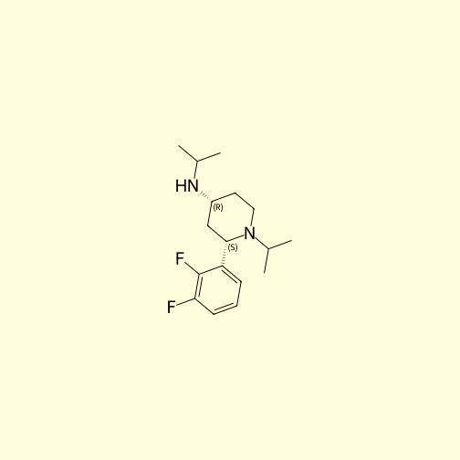 CC(C)N[C@@H]1CCN(C(C)C)[C@H](c2cccc(F)c2F)C1